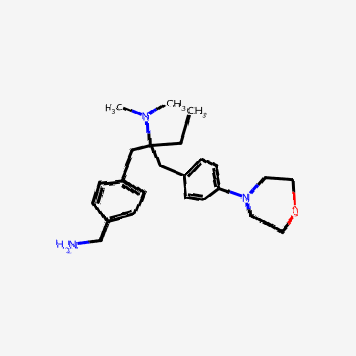 CCC(Cc1ccc(CN)cc1)(Cc1ccc(N2CCOCC2)cc1)N(C)C